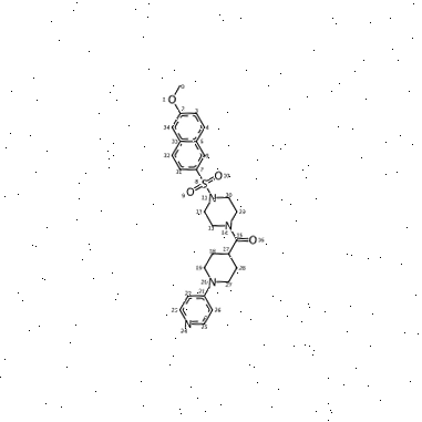 COc1ccc2cc(S(=O)(=O)N3CCN(C(=O)C4CCN(c5ccncc5)CC4)CC3)ccc2c1